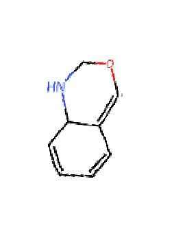 [C]1=C2C=CC=CC2NCO1